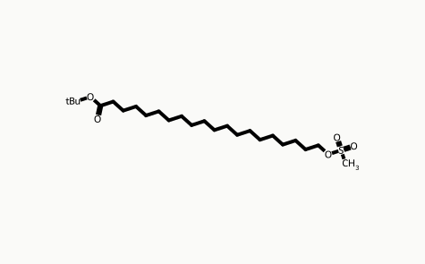 CC(C)(C)OC(=O)CCCCCCCCCCCCCCCCCCCOS(C)(=O)=O